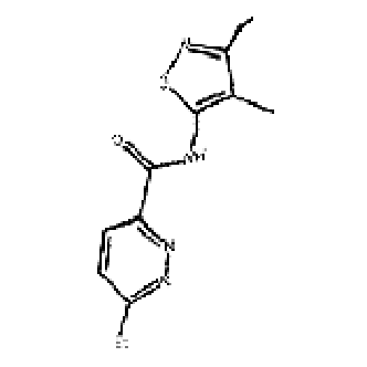 CCc1ccc(C(=O)Nc2onc(C)c2C)nn1